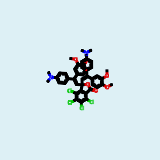 COc1ccc(/C(=C\C2(/C=C(/c3ccc(N(C)C)cc3)c3ccc(OC)c(OC)c3)OC(=O)c3c(Cl)c(Cl)c(Cl)c(Cl)c32)c2ccc(N(C)C)cc2)cc1OC